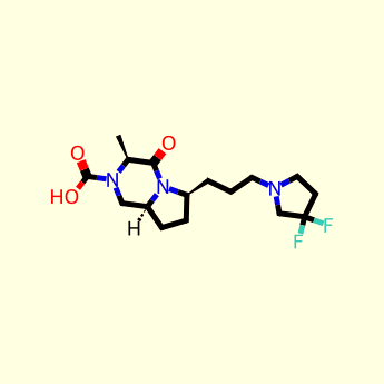 C[C@H]1C(=O)N2[C@@H](CCCN3CCC(F)(F)C3)CC[C@H]2CN1C(=O)O